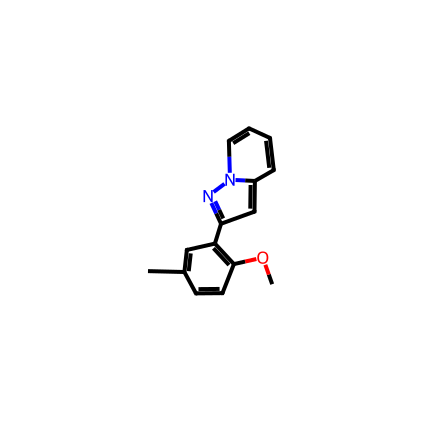 COc1ccc(C)cc1-c1cc2ccccn2n1